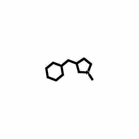 CN1CCC(CC2CCCCC2)C1